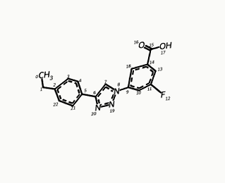 CCc1ccc(-c2cn(-c3cc(F)cc(C(=O)O)c3)nn2)cc1